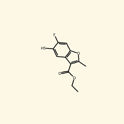 CCOC(=O)c1c(C)oc2cc(F)c(S)cc12